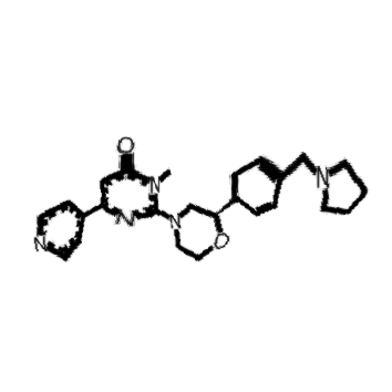 Cn1c(N2CCO[C@H](C3C=CC(CN4CCCC4)=CC3)C2)nc(-c2ccncc2)cc1=O